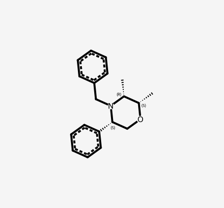 C[C@@H]1OC[C@H](c2ccccc2)N(Cc2ccccc2)[C@@H]1C